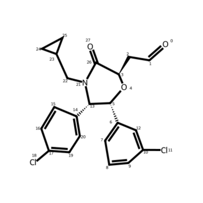 O=CC[C@H]1O[C@H](c2cccc(Cl)c2)[C@H](c2ccc(Cl)cc2)N(CC2CC2)C1=O